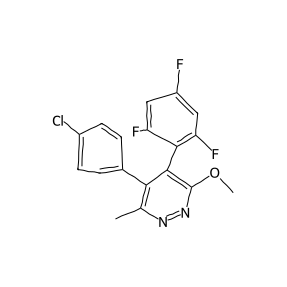 COc1nnc(C)c(-c2ccc(Cl)cc2)c1-c1c(F)cc(F)cc1F